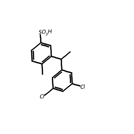 Cc1ccc(S(=O)(=O)O)cc1C(C)c1cc(Cl)cc(Cl)c1